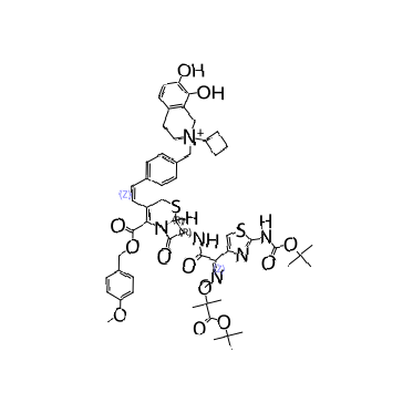 COc1ccc(COC(=O)C2=C(/C=C\c3ccc(C[N+]4(C5CCC5)CCc5ccc(O)c(O)c5C4)cc3)CS[C@@H]3[C@H](NC(=O)/C(=N\OC(C)(C)C(=O)OC(C)(C)C)c4csc(NC(=O)OC(C)(C)C)n4)C(=O)N23)cc1